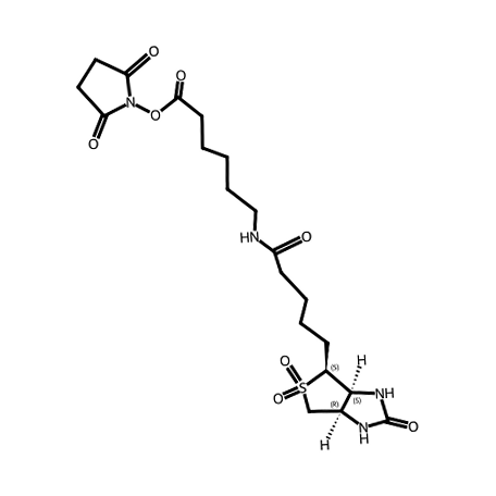 O=C(CCCC[C@H]1[C@H]2NC(=O)N[C@H]2CS1(=O)=O)NCCCCCC(=O)ON1C(=O)CCC1=O